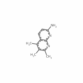 Cc1nc2nc(N)ccc2c(C)c1C